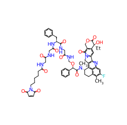 CC[C@@]1(O)C(=O)OCc2c1cc1n(c2=O)Cc2c-1nc1cc(F)c(C)c3c1c2[C@@H](N(C)C(=O)C(OCNC(=O)CNC(=O)[C@H](Cc1ccccc1)NC(=O)CNC(=O)CNC(=O)CCCCCN1C(=O)C=CC1=O)c1ccccc1)CC3